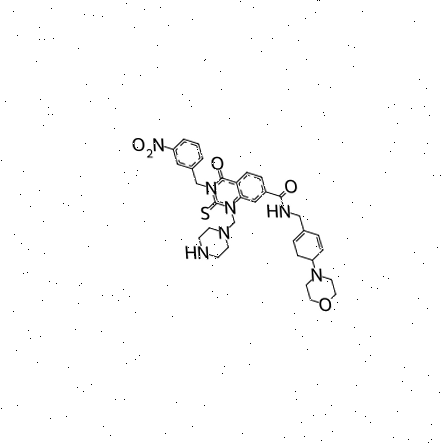 O=C(NCC1=CCC(N2CCOCC2)C=C1)c1ccc2c(=O)n(Cc3cccc([N+](=O)[O-])c3)c(=S)n(CN3CCNCC3)c2c1